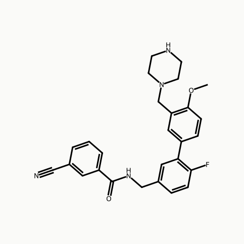 COc1ccc(-c2cc(CNC(=O)c3cccc(C#N)c3)ccc2F)cc1CN1CCNCC1